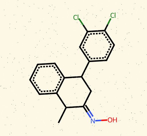 CC1C(=NO)CC(c2ccc(Cl)c(Cl)c2)c2ccccc21